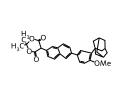 COc1ccc(-c2ccc3cc(C4C(=O)OC(C)(C)OC4=O)ccc3c2)cc1C12CC3CC(CC(C3)C1)C2